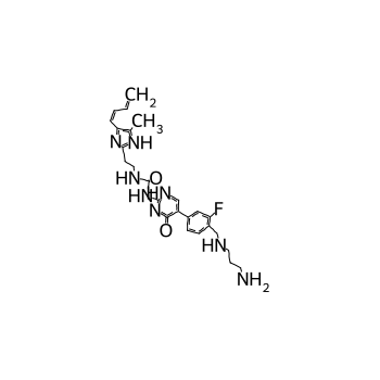 C=C/C=C\c1nc(CCNC(=O)Nc2nc(=O)c(-c3ccc(CNCCCN)c(F)c3)c[nH]2)[nH]c1C